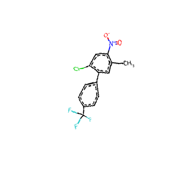 Cc1cc(-c2ccc(C(F)(F)F)cc2)c(Cl)cc1[N+](=O)[O-]